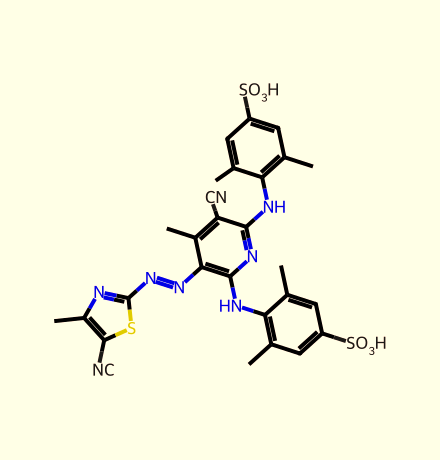 [C-]#[N+]c1sc(N=Nc2c(Nc3c(C)cc(S(=O)(=O)O)cc3C)nc(Nc3c(C)cc(S(=O)(=O)O)cc3C)c(C#N)c2C)nc1C